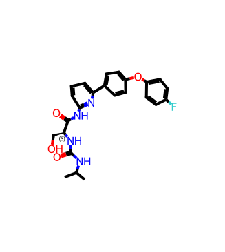 CC(C)NC(=O)N[C@@H](CO)C(=O)Nc1cccc(-c2ccc(Oc3ccc(F)cc3)cc2)n1